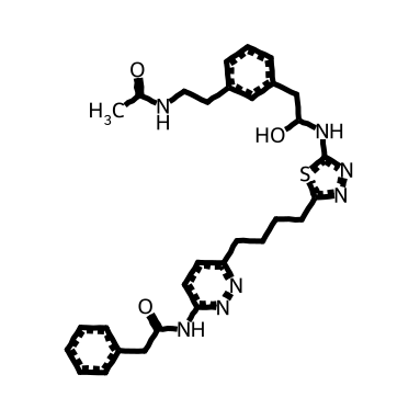 CC(=O)NCCc1cccc(CC(O)Nc2nnc(CCCCc3ccc(NC(=O)Cc4ccccc4)nn3)s2)c1